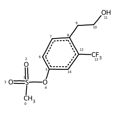 CS(=O)(=O)Oc1ccc(CCO)c(C(F)(F)F)c1